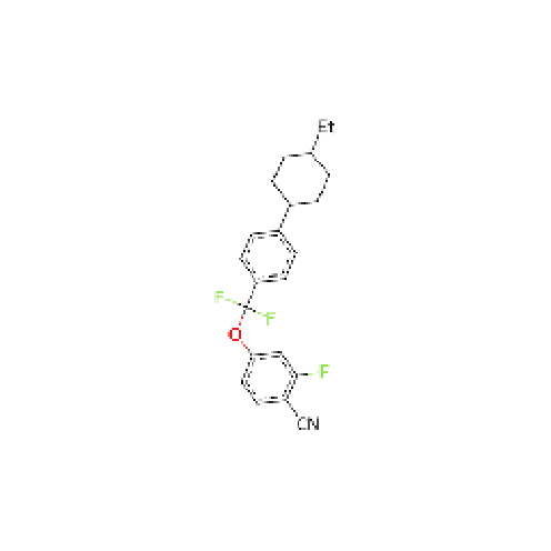 CCC1CCC(c2ccc(C(F)(F)Oc3ccc(C#N)c(F)c3)cc2)CC1